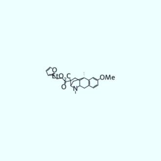 CCOC(=O)C1(C(=O)CCc2ccco2)CC2C3Cc4ccc(OC)cc4[C@]2(C)CC1N3C